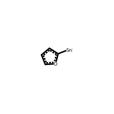 [Sn][c]1ccco1